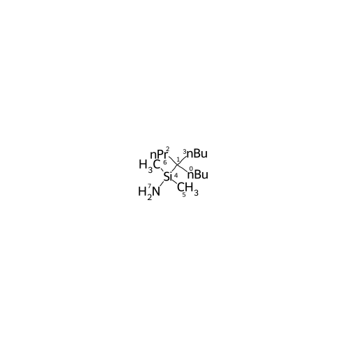 CCCCC(CCC)(CCCC)[Si](C)(C)N